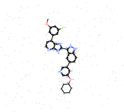 COc1cc(F)cc(-c2ccnc3[nH]c(-c4n[nH]c5ccc(-c6cncc(OC7CCCCC7)c6)cc45)nc23)c1